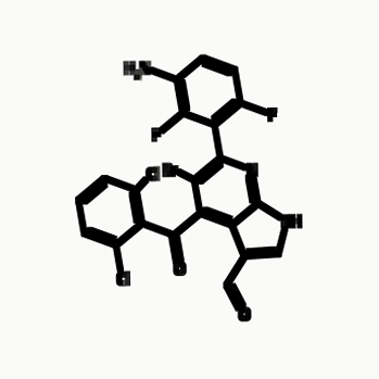 Nc1ccc(F)c(-c2nc3[nH]cc(C=O)c3c(C(=O)c3c(Cl)cccc3Cl)c2Br)c1F